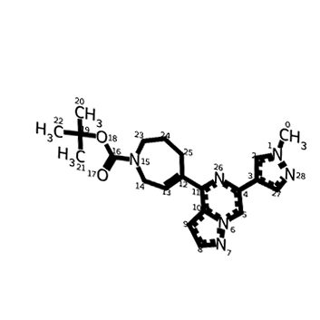 Cn1cc(-c2cn3nccc3c(C3=CCN(C(=O)OC(C)(C)C)CCC3)n2)cn1